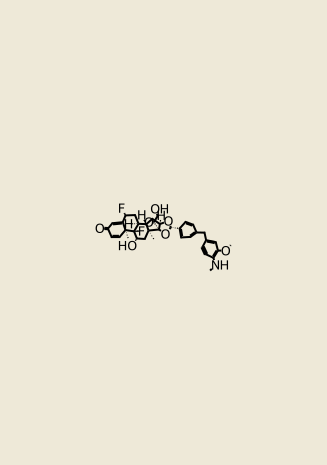 CNc1c#cc(Cc2ccc([C@H]3O[C@@H]4C[C@H]5[C@@H]6C[C@H](F)C7=CC(=O)C=C[C@]7(C)[C@@]6(F)[C@@H](O)C[C@]5(C)[C@]4(C(=O)CO)O3)cc2)cc1OC